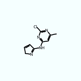 Cc1cc(NC2=NCC=C2)nc(Cl)n1